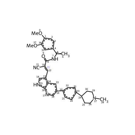 COc1ccc([C@@H](C)NC(=O)/C(C#N)=C/c2c[nH]c3ncc(-c4ccc(C5CCN(C)CC5)cc4)cc23)cc1OC